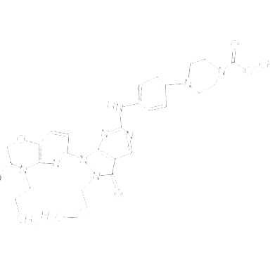 C/C=C\Cn1c(=O)c2cnc(Nc3ccc(N4CCN(C(=O)OC)CC4)cc3)nc2n1-c1ccc2c(n1)N(CCC)C(=O)CO2